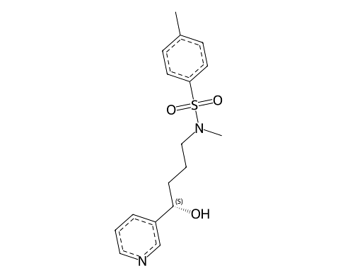 Cc1ccc(S(=O)(=O)N(C)CCC[C@H](O)c2cccnc2)cc1